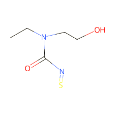 CCN(CCO)C(=O)N=S